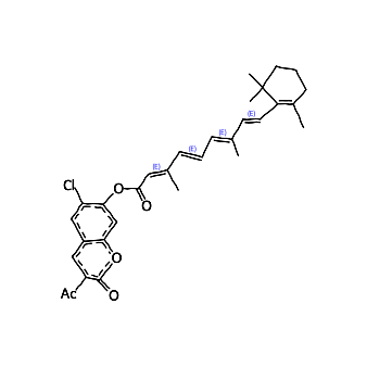 CC(=O)c1cc2cc(Cl)c(OC(=O)/C=C(C)/C=C/C=C(C)/C=C/C3=C(C)CCCC3(C)C)cc2oc1=O